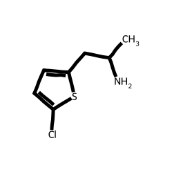 CC(N)Cc1ccc(Cl)s1